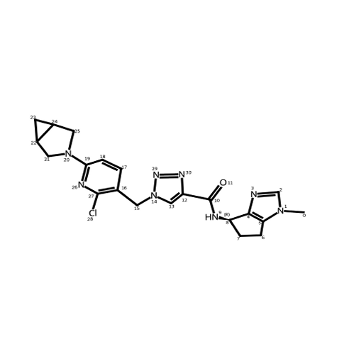 Cn1cnc2c1CC[C@H]2NC(=O)c1cn(Cc2ccc(N3CC4CC4C3)nc2Cl)nn1